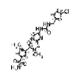 CN(Cc1nsc(NC(=O)NCc2ccc(Cl)s2)n1)C(=O)c1cc(S(N)(=O)=O)cn1C